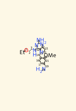 CCOCCNc1nc(N)nc2ccn(Cc3ccc(CN)cc3OC)c12